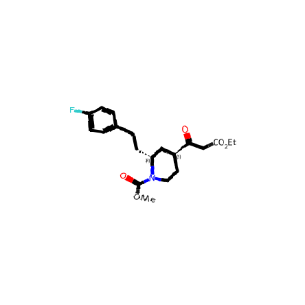 CCOC(=O)CC(=O)[C@H]1CCN(C(=O)OC)[C@H](CCc2ccc(F)cc2)C1